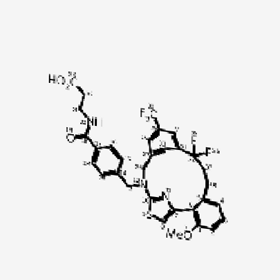 COc1cccc2c1-c1csc(n1)N(Cc1ccc(C(=O)NCCC(=O)O)cc1)Cc1cc(C(F)(F)F)cc(c1)C(F)(F)CC2